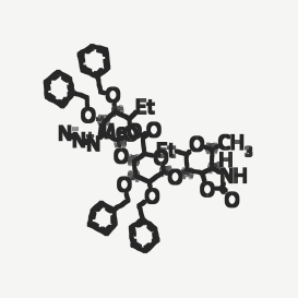 CCC1O[C@@H](C)[C@H]2NC(=O)OC2[C@@H]1O[C@@H]1OC(C(=O)OC)[C@@H](O[C@H]2OC(CC)[C@H](OCc3ccccc3)[C@@H](OCc3ccccc3)C2N=[N+]=[N-])[C@@H](OCc2ccccc2)C1OCc1ccccc1